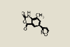 Cc1cc(-c2ccon2)cc2c(=O)oc(=O)[nH]c12